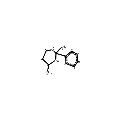 CC1CCOC(C)(c2ccccc2)S1